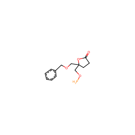 O=C1CCC(COP)(COCc2ccccc2)O1